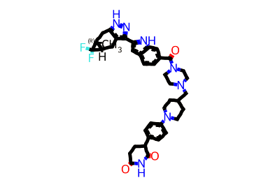 C[C@@]12Cc3[nH]nc(-c4cc5ccc(C(=O)N6CCN(CC7CCN(c8ccc(C9CCC(=O)NC9=O)cc8)CC7)CC6)cc5[nH]4)c3C[C@@H]1C2(F)F